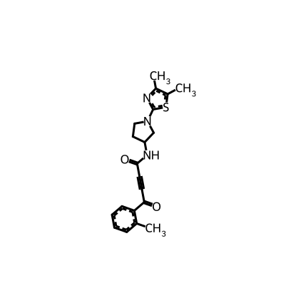 Cc1ccccc1C(=O)C#CC(=O)NC1CCN(c2nc(C)c(C)s2)C1